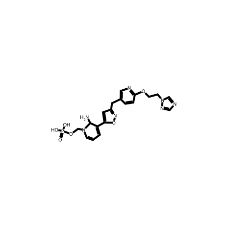 NC1C(c2cc(Cc3ccc(OCCn4cncn4)nc3)no2)=CC=CN1COP(=O)(O)O